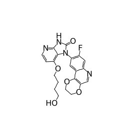 O=c1[nH]c2nccc(OCCCCO)c2n1-c1cc2c3c(cnc2cc1F)OCCO3